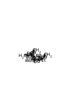 C=CC(=O)OCC(CC)(COC(=O)C=C)COC(=O)CCC(C#N)(CCC(=O)OCC(CC)(COC(=O)C=C)COC(=O)C=C)C(=O)OCC(C)C